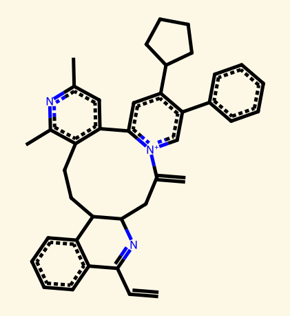 C=CC1=NC2CC(=C)[n+]3cc(-c4ccccc4)c(C4CCCC4)cc3-c3cc(C)nc(C)c3CCC2c2ccccc21